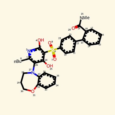 CCCCc1nc(O)c(S(=O)(=O)c2ccc(-c3ccccc3C(=O)NC)cc2)c(O)c1N1CCCOc2ccccc21